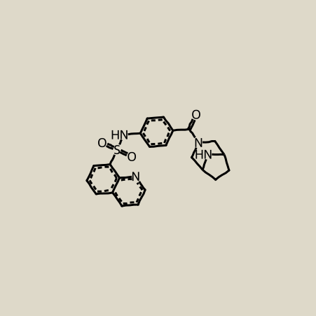 O=C(c1ccc(NS(=O)(=O)c2cccc3cccnc23)cc1)N1CC2CCC(C1)N2